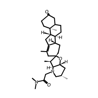 CC1=C2C[C@H]3[C@@H](CCC4CC(=O)CC[C@@]43C)[C@@H]2CC[C@@]2(C1)O[C@@H]1C[C@H](C)CN(CC(=O)N(C)C)[C@H]1[C@H]2C